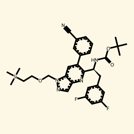 CC(C)(C)OC(=O)N[C@@H](Cc1cc(F)cc(F)c1)c1nc2cnn(COCC[Si](C)(C)C)c2cc1-c1cccc(C#N)c1